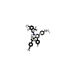 N#Cc1ccc(-c2cnc(C3C(c4ccc(F)cc4)CC(N4CCC(N)CC4)CN3C(=O)/C=C/c3c(C(F)(F)F)ccc(Cl)c3F)[nH]2)cc1